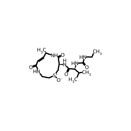 CCNC(=O)N[C@H](C(=O)N[C@H]1C[S+]([O-])CCNC(=O)/C=C/[C@H](C)NC1=O)C(C)C